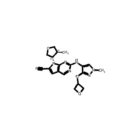 C[C@@H]1COC[C@H]1n1c(C#N)cc2cnc(Nc3cn(C)nc3OC3COC3)nc21